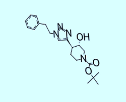 CC(C)(C)OC(=O)N1CC[C@@H](c2cn(CCc3ccccc3)nn2)[C@H](O)C1